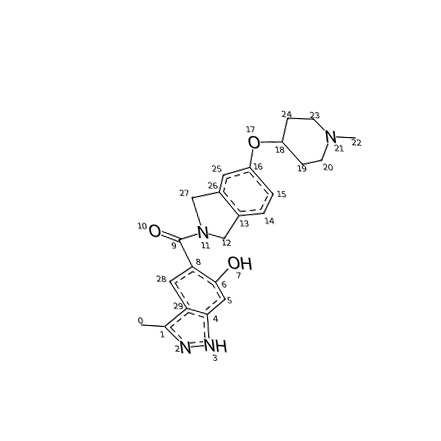 Cc1n[nH]c2cc(O)c(C(=O)N3Cc4ccc(OC5CCN(C)CC5)cc4C3)cc12